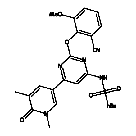 CCCCS(=O)(=O)Nc1cc(-c2cc(C)c(=O)n(C)c2)nc(Oc2c(C#N)cccc2OC)n1